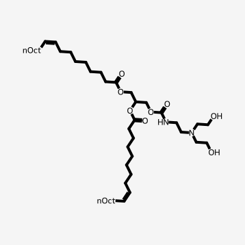 CCCCCCCC/C=C\CCCCCCCC(=O)OCC(COC(=O)NCCN(CCO)CCO)OC(=O)CCCCCCC/C=C\CCCCCCCC